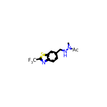 CC(=O)N(C)NCc1ccc2nc(C(F)(F)F)sc2c1